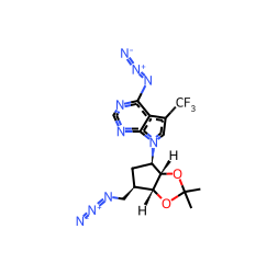 CC1(C)O[C@@H]2[C@@H](CN=[N+]=[N-])C[C@@H](n3cc(C(F)(F)F)c4c(N=[N+]=[N-])ncnc43)[C@@H]2O1